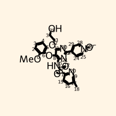 COc1ccccc1Oc1c(NS(=O)(=O)c2ccc(C)cn2)nc(-c2cc[n+]([O-])cc2)nc1OCCO